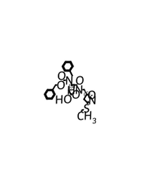 CCSC1=NO[C@H](CNC(=O)[C@H](CC(=O)O)N(Cc2ccccc2)C(=O)OCc2ccccc2)C1